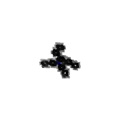 c1ccc(-c2cccc(-c3cc4c5c(c3)N(c3ccc(C6CCCCC6)cc3)c3ccc(C6CCCCC6)cc3B5c3cc(C5CCCCC5)ccc3-4)c2)cc1